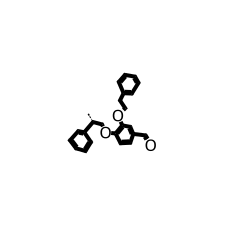 C[C@H](COc1ccc(C=O)cc1OCCc1ccccc1)c1ccccc1